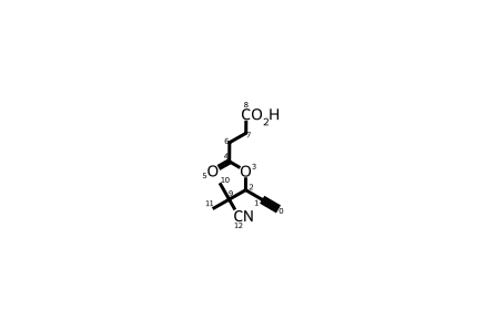 C#CC(OC(=O)CCC(=O)O)C(C)(C)C#N